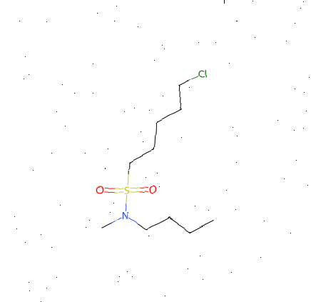 CCCCN(C)S(=O)(=O)CCCCCCl